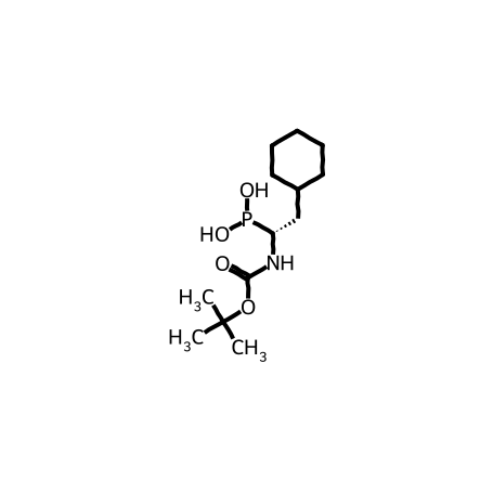 CC(C)(C)OC(=O)N[C@@H](CC1CCCCC1)P(O)O